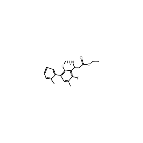 CCOC(=O)CC(N)c1c(F)c(C)cc(-c2ccccc2C)c1OC